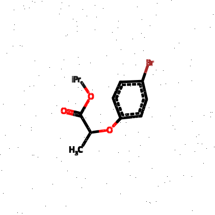 CC(C)OC(=O)C(C)Oc1ccc(Br)cc1